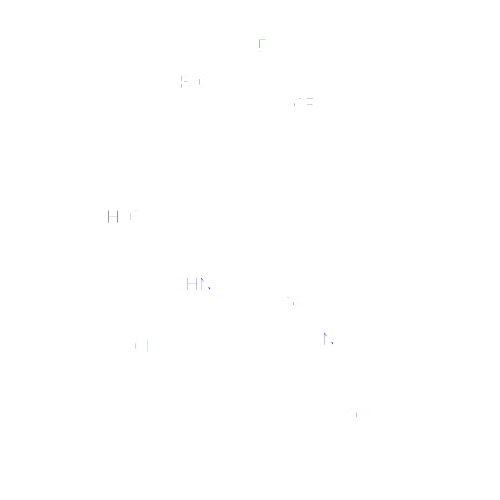 Cc1cc(C(F)(C(F)(F)F)C(F)(F)F)ccc1NC(=O)c1c(Cl)cccc1-c1ncco1